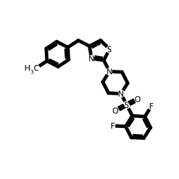 Cc1ccc(Cc2csc(N3CCN(S(=O)(=O)c4c(F)cccc4F)CC3)n2)cc1